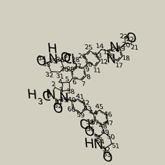 CN1CC2(CC(c3ccc(-c4ccc(Cc5nccc(C6COC6)n5)cc4)c(Cl)c3C3CCC(=O)NC3=O)C2)N(c2ccc(-c3cccc(C4CCC(=O)NC4=O)c3Cl)cc2)C1=O